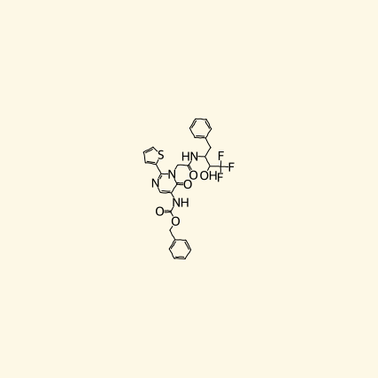 O=C(Cn1c(-c2cccs2)ncc(NC(=O)OCc2ccccc2)c1=O)NC(Cc1ccccc1)C(O)C(F)(F)F